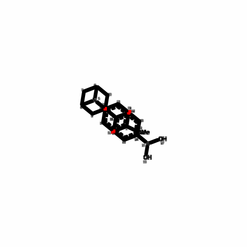 COc1ccc(N2C3CC2CN(c2ccc(B(O)O)cn2)C3)cn1